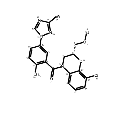 CCOC[C@H]1CN(C(=O)c2cc(-n3cnc(C(C)C)n3)ccc2C)c2cccc(Cl)c2O1